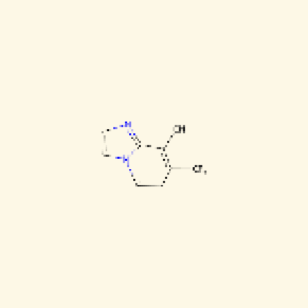 N#Cc1c(C(F)(F)F)ccn2ccnc12